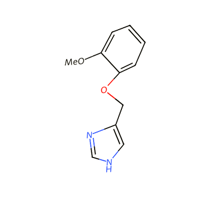 COc1ccccc1OCc1c[nH]cn1